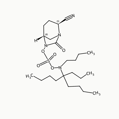 CCCCN(OS(=O)(=O)ON1C(=O)N2C[C@H]1CC[C@H]2C#N)C(CCC)(CCCC)CCCC